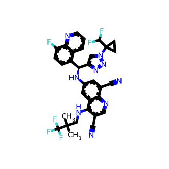 CC(C)(CNc1c(C#N)cnc2c(C#N)cc(N[C@H](c3cn(C4(C(F)F)CC4)nn3)c3ccc(F)c4ncccc34)cc12)C(F)(F)F